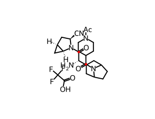 CC(=O)N1CCC(C(=O)N2C3CCC2CC([C@H](N)C(=O)N2[C@H](C#N)C[C@@H]4C[C@@H]42)C3)CC1.O=C(O)C(F)(F)F